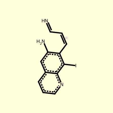 N=C/C=C\c1c(N)cc2cccnc2c1I